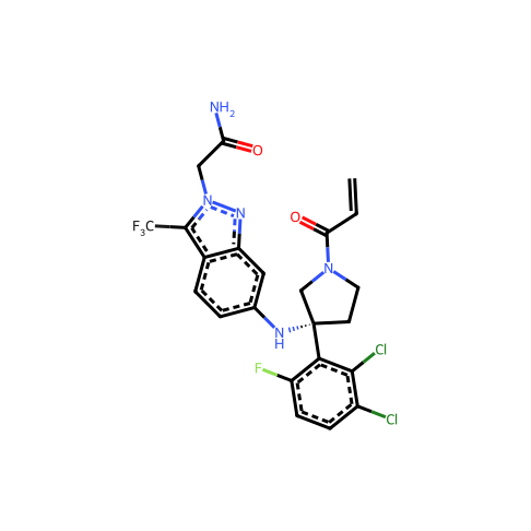 C=CC(=O)N1CC[C@@](Nc2ccc3c(C(F)(F)F)n(CC(N)=O)nc3c2)(c2c(F)ccc(Cl)c2Cl)C1